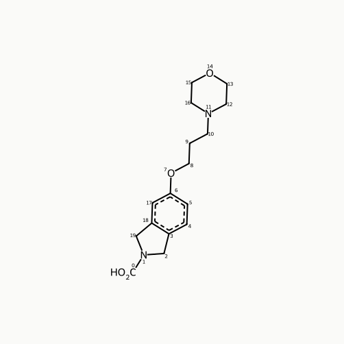 O=C(O)N1Cc2ccc(OCCCN3CCOCC3)cc2C1